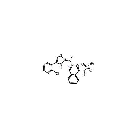 CCCS(=O)(=O)NC(=O)c1ccccc1/C=N/N(C)N1NC(c2ccccc2Cl)=CS1